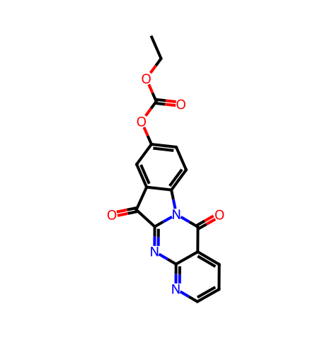 CCOC(=O)Oc1ccc2c(c1)C(=O)c1nc3ncccc3c(=O)n1-2